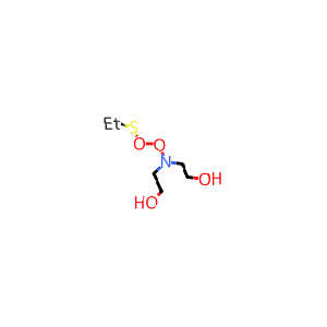 CCSOON(CCO)CCO